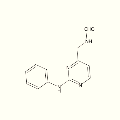 O=CNCc1ccnc(Nc2ccccc2)n1